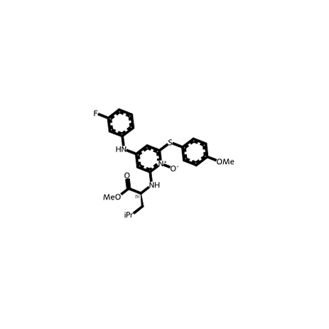 COC(=O)[C@H](CC(C)C)Nc1cc(Nc2cccc(F)c2)cc(Sc2ccc(OC)cc2)[n+]1[O-]